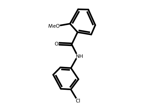 COc1ccccc1C(=O)Nc1cccc(Cl)c1